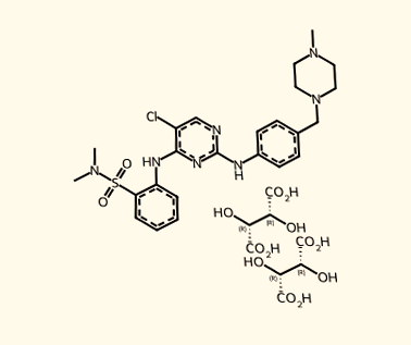 CN1CCN(Cc2ccc(Nc3ncc(Cl)c(Nc4ccccc4S(=O)(=O)N(C)C)n3)cc2)CC1.O=C(O)[C@H](O)[C@@H](O)C(=O)O.O=C(O)[C@H](O)[C@@H](O)C(=O)O